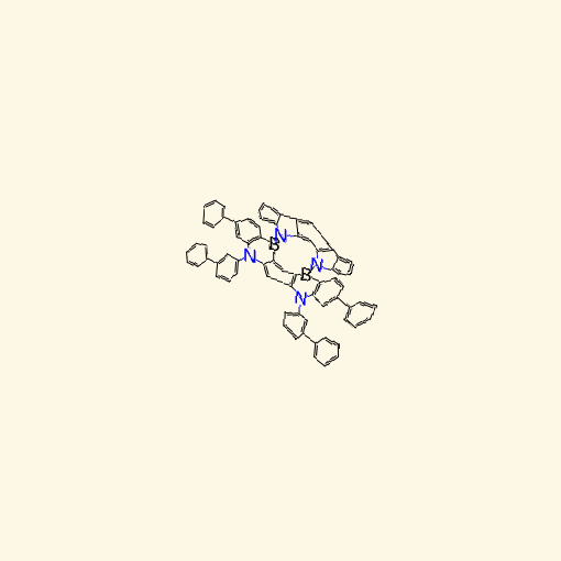 c1ccc(-c2cccc(N3c4cc(-c5ccccc5)ccc4B4c5cc6c(cc53)N(c3cccc(-c5ccccc5)c3)c3cc(-c5ccccc5)ccc3B6n3c5ccccc5c5cc6c7ccccc7n4c6cc53)c2)cc1